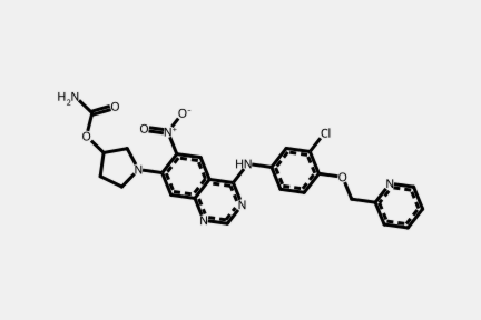 NC(=O)OC1CCN(c2cc3ncnc(Nc4ccc(OCc5ccccn5)c(Cl)c4)c3cc2[N+](=O)[O-])C1